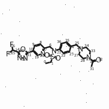 CCS(=O)(=O)N(Cc1ccc(-c2nnc(C(F)F)o2)cn1)c1ccc(CN2CCN(C(C)=O)CC2)cc1